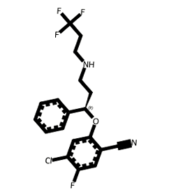 N#Cc1cc(F)c(Cl)cc1O[C@H](CCNCCC(F)(F)F)c1ccccc1